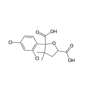 CC1(C)CC(C(=O)O)OC1(C(=O)O)c1ccc(Cl)cc1Cl